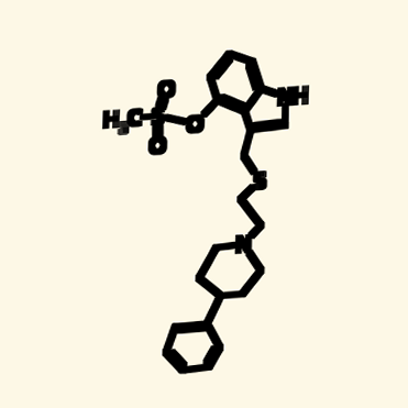 CS(=O)(=O)Oc1cccc2[nH]cc(CSCCN3CCC(c4ccccc4)CC3)c12